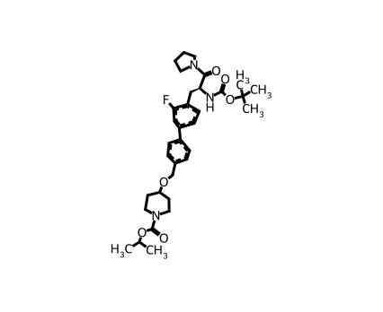 CC(C)OC(=O)N1CCC(OCc2ccc(-c3ccc(C[C@H](NC(=O)OC(C)(C)C)C(=O)N4CCCC4)c(F)c3)cc2)CC1